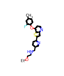 CCOCCNCc1ccc(-c2cc3nccc(Oc4ccc(C)cc4F)c3s2)nc1